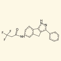 O=C(CC(F)(F)F)Nc1ccc2c(c1)Cc1c(-c3ccccc3)n[nH]c1-2